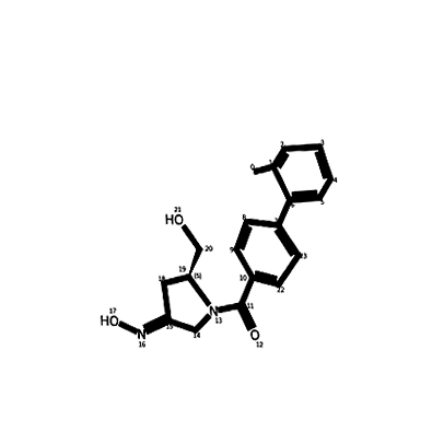 Cc1ccccc1-c1ccc(C(=O)N2CC(=NO)C[C@H]2CO)cc1